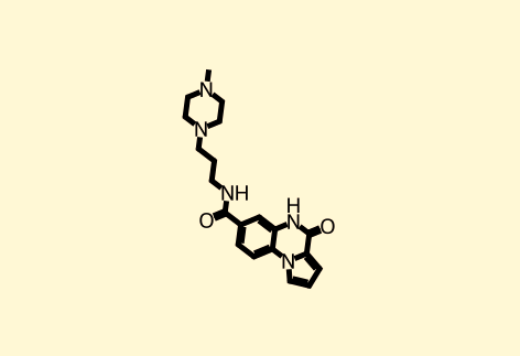 CN1CCN(CCCNC(=O)c2ccc3c(c2)[nH]c(=O)c2cccn23)CC1